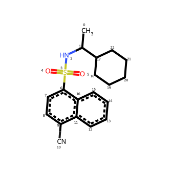 CC(NS(=O)(=O)c1ccc(C#N)c2ccccc12)C1CCCCC1